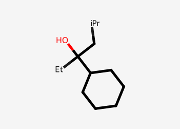 CCC(O)(CC(C)C)C1CCCCC1